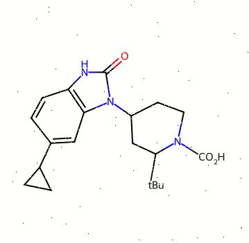 CC(C)(C)C1CC(n2c(=O)[nH]c3ccc(C4CC4)cc32)CCN1C(=O)O